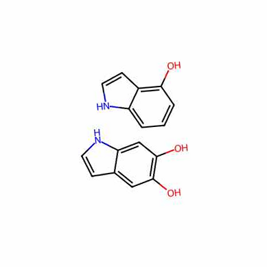 Oc1cc2cc[nH]c2cc1O.Oc1cccc2[nH]ccc12